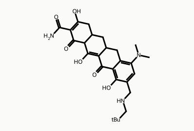 CN(C)c1cc(CNCC(C)(C)C)c(O)c2c1CC1CC3CC(O)=C(C(N)=O)C(=O)C3C(O)=C1C2=O